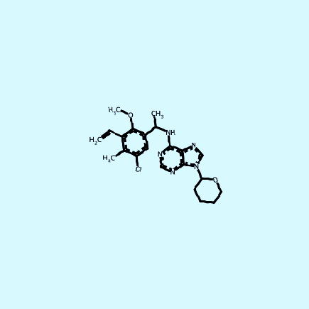 C=Cc1c(C)c(Cl)cc(C(C)Nc2ncnc3c2ncn3C2CCCCO2)c1OC